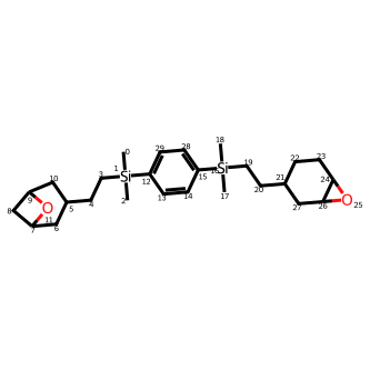 C[Si](C)(CCC1CC2CC(C1)O2)c1ccc([Si](C)(C)CCC2CCC3OC3C2)cc1